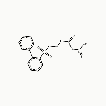 O=[PH](O)O[PH](=O)OCCS(=O)(=O)c1ccccc1-c1ccccc1